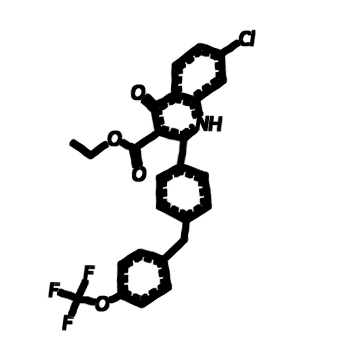 CCOC(=O)c1c(-c2ccc(Cc3ccc(OC(F)(F)F)cc3)cc2)[nH]c2cc(Cl)ccc2c1=O